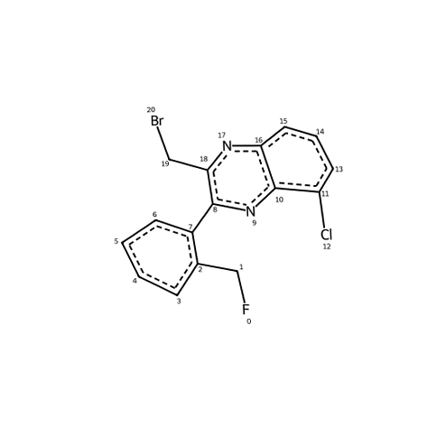 FCc1ccccc1-c1nc2c(Cl)cccc2nc1CBr